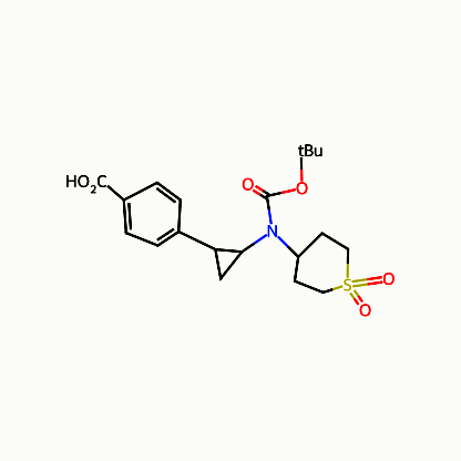 CC(C)(C)OC(=O)N(C1CCS(=O)(=O)CC1)C1CC1c1ccc(C(=O)O)cc1